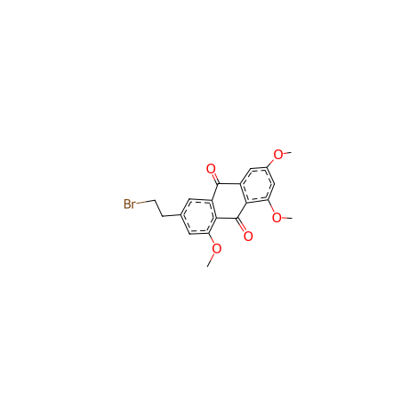 COc1cc(OC)c2c(c1)C(=O)c1cc(CCBr)cc(OC)c1C2=O